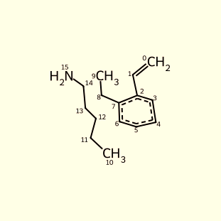 C=Cc1ccccc1CC.CCCCCN